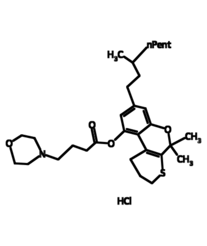 CCCCCC(C)CCc1cc(OC(=O)CCCN2CCOCC2)c2c(c1)OC(C)(C)C1=C2CCCS1.Cl